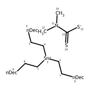 CCCCCCCCCCC[CH2][Sn+]([CH2]CCCCCCCCCCC)[CH2]CCCCCCCCCCC.CN(C)C(=S)[S-]